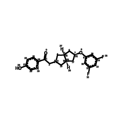 O=C(CN1C[C@H]2C[C@@H](Oc3cc(F)cc(F)c3)C[C@H]2C1)c1ccc(O)cn1